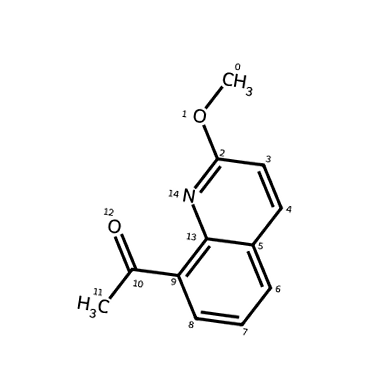 COc1ccc2cccc(C(C)=O)c2n1